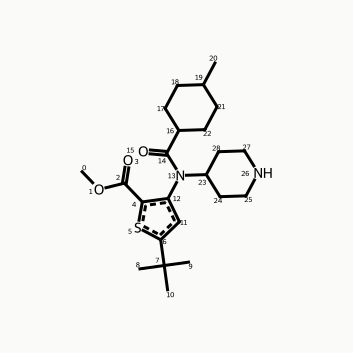 COC(=O)c1sc(C(C)(C)C)cc1N(C(=O)C1CCC(C)CC1)C1CCNCC1